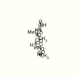 COc1nc(C2C=CC(F)=C(C3=C(C)C(NC(=O)c4ccnn(C)c4=O)=CCC3)C2(C)Cl)cc2c1[C@@H](NC[C@@H]1CCC(=O)N1)CC2